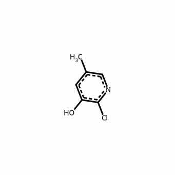 Cc1cnc(Cl)c(O)c1